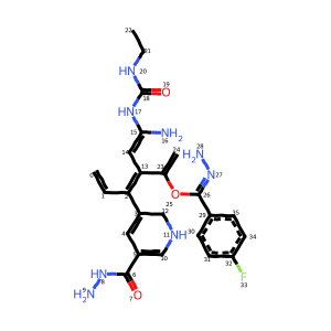 C=C/C(C1=CC(C(=O)NN)=CNC1)=C(\C=C(/N)NC(=O)NCC)C(=C)O/C(=N\N)c1ccc(F)cc1